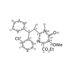 CCOC(=O)c1nc(C(C)C(c2ccccc2)c2ccccc2Cl)n(C)c(=O)c1OC